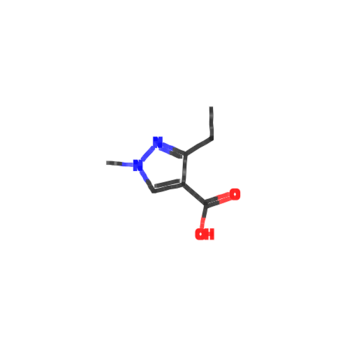 CCc1nn(C)cc1C(=O)O